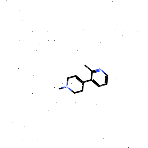 Cc1ncccc1C1=CCN(C)CC1